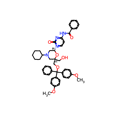 COc1ccc(C(OC[C@@]2(CO)CN(C3CCCCC3)C[C@H](n3ccc(NC(=O)c4ccccc4)nc3=O)O2)(c2ccccc2)c2ccc(OC)cc2)cc1